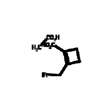 CC(=O)O.CC(C)CC1=C(C(=O)O)CC1